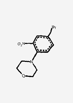 CC(C)c1ccc(N2CCOCC2)c([N+](=O)[O-])c1